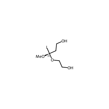 CO[C@@](I)(CCO)OCCO